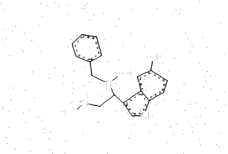 CNCC(c1c[nH]c2ccc(C)cc12)N(O)Cc1ccccc1